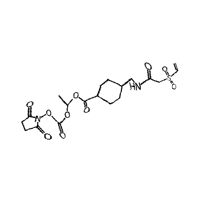 C=CS(=O)(=O)CC(=O)NCC1CCC(C(=O)OC(C)OC(=O)ON2C(=O)CCC2=O)CC1